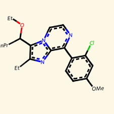 CCCC(OCC)c1c(CC)nc2c(-c3ccc(OC)cc3Cl)nccn12